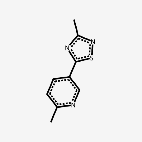 Cc1ccc(-c2nc(C)ns2)cn1